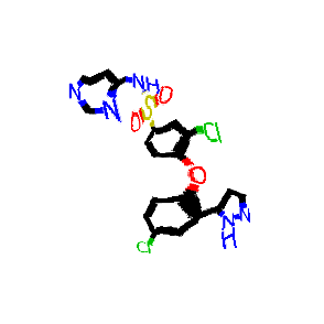 O=S(=O)(Nc1ccncn1)c1ccc(Oc2ccc(Cl)cc2-c2ccn[nH]2)c(Cl)c1